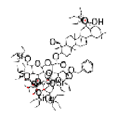 CC[Si](CC)(CC)OCC1O[C@@H](OC2C(O[C@@H]3OC[C@@H](O[Si](CC)(CC)CC)C(O[Si](CC)(CC)CC)C3O[Si](CC)(CC)CC)[C@H](O[Si](CC)(CC)CC)C(C(=O)OCc3ccccc3)O[C@H]2OC2CCC3(C)C(CCC4(C)C3CC=C3C5CC(C)(C)CC[C@]5(C(=O)O)C(O[Si](CC)(CC)CC)CC34C)C2(C)C=O)C(O[Si](CC)(CC)CC)C(O[Si](CC)(CC)CC)[C@H]1O[Si](CC)(CC)CC